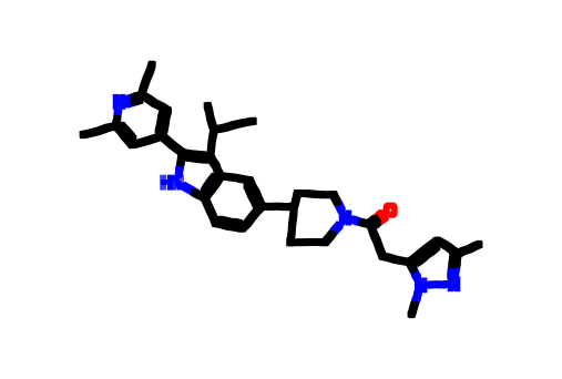 Cc1cc(-c2[nH]c3ccc(C4CCN(C(=O)Cc5cc(C)nn5C)CC4)cc3c2C(C)C)cc(C)n1